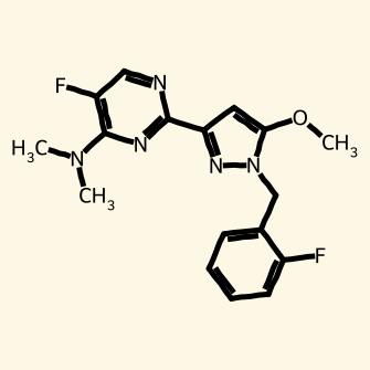 COc1cc(-c2ncc(F)c(N(C)C)n2)nn1Cc1ccccc1F